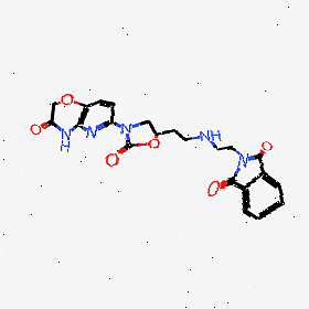 O=C1COc2ccc(N3CC(CCNCCN4C(=O)c5ccccc5C4=O)OC3=O)nc2N1